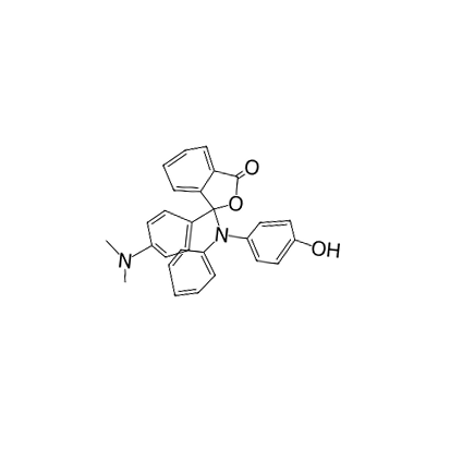 CN(C)c1ccc(C2(N(c3ccccc3)c3ccc(O)cc3)OC(=O)c3ccccc32)cc1